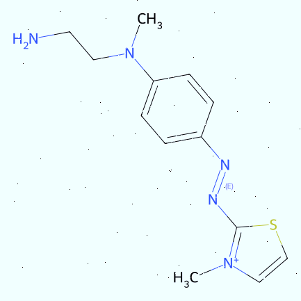 CN(CCN)c1ccc(/N=N/c2scc[n+]2C)cc1